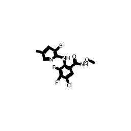 CONC(=O)c1cc(Cl)c(F)c(F)c1Nc1ncc(C)cc1Br